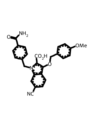 COc1ccc(COc2c(C(=O)O)n(Cc3ccc(C(N)=O)cc3)c3cc(C#N)ccc23)cc1